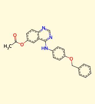 CC(=O)Oc1ccc2ncnc(Nc3ccc(OCc4ccccc4)cc3)c2c1